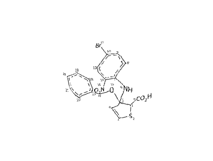 O=C(O)C1SC=CC1(Nc1ccc(Br)cc1[N+](=O)[O-])OCc1ccccc1